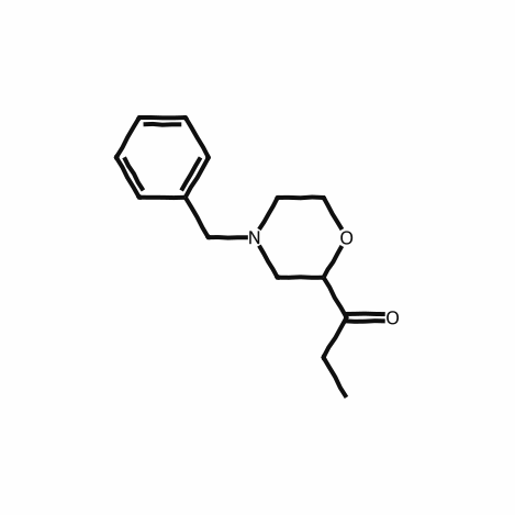 CCC(=O)C1CN(Cc2ccccc2)CCO1